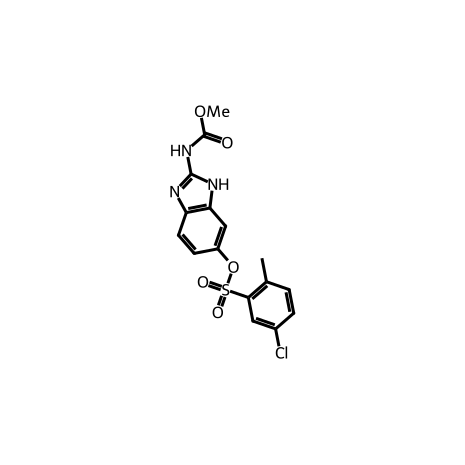 COC(=O)Nc1nc2ccc(OS(=O)(=O)c3cc(Cl)ccc3C)cc2[nH]1